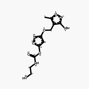 CCCCc1noc(C)c1COc1cc(OC(=O)NCCO)on1